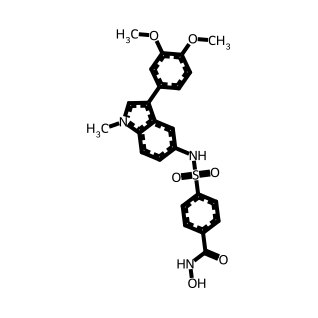 COc1ccc(-c2cn(C)c3ccc(NS(=O)(=O)c4ccc(C(=O)NO)cc4)cc23)cc1OC